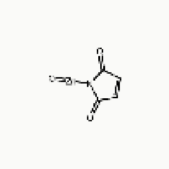 [O]=[Zn][N]1C(=O)C=CC1=O